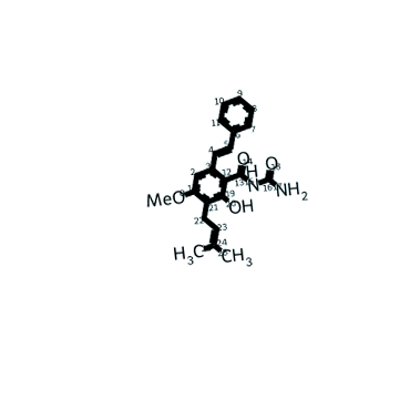 COc1cc(/C=C/c2ccccc2)c(C(=O)NC(N)=O)c(O)c1CC=C(C)C